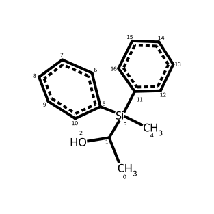 CC(O)[Si](C)(c1ccccc1)c1ccccc1